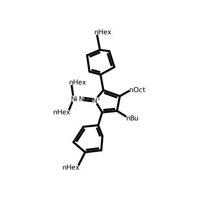 CCCCCCCCC1=C(c2ccc(CCCCCC)cc2)[N+](=[N-])C(c2ccc(CCCCCC)cc2)=C1CCCC.CCCCC[CH2][Ni][CH2]CCCCC